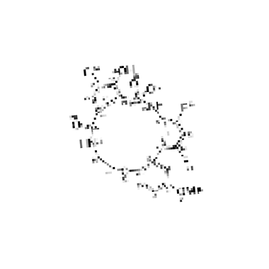 COc1ccc2c(c1)-c1cc(c(F)cc1F)NS(=O)(=O)c1cc(cc(Cl)c1O)C(=O)NCCO2